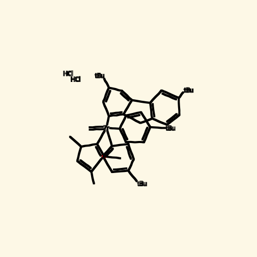 Cl.Cl.[CH2]=[Zr]([C]1=C(C)C(C)=CC1C)([c]1ccc(C(C)(C)C)cc1)([c]1ccc(C(C)(C)C)cc1)[c]1cc(C(C)(C)C)cc2c1Cc1ccc(C(C)(C)C)cc1-2